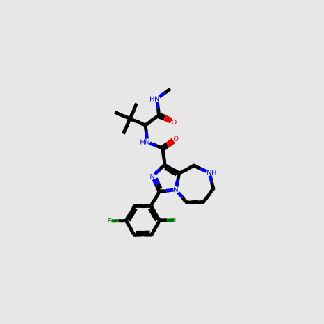 CNC(=O)C(NC(=O)c1nc(-c2cc(F)ccc2F)n2c1CNCCC2)C(C)(C)C